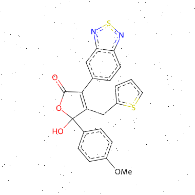 COc1ccc(C2(O)OC(=O)C(c3ccc4nsnc4c3)=C2Cc2cccs2)cc1